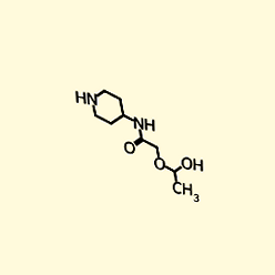 CC(O)OCC(=O)NC1CCNCC1